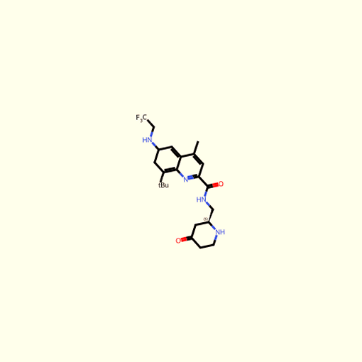 Cc1cc(C(=O)NC[C@@H]2CC(=O)CCN2)nc2c1=CC(NCC(F)(F)F)CC=2C(C)(C)C